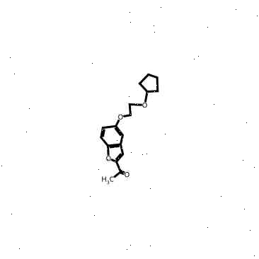 CC(=O)c1cc2cc(OCCOC3CCCC3)ccc2o1